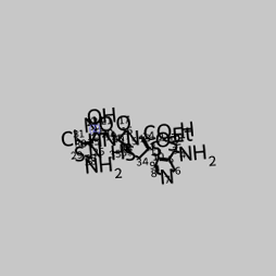 CC[S+]([O-])C(N)c1cnccc1SC1=C(C(=O)O)N2C(=O)[C@@H](NC(=O)/C(=N\O)c3nc(N)sc3Cl)[C@@H]2SC1